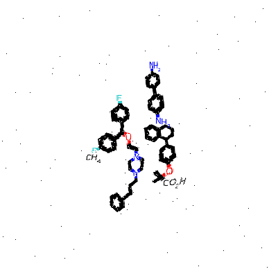 C.CC(C)(Oc1ccc(C2CCCc3ccccc32)cc1)C(=O)O.Fc1ccc(C(OCCN2CCN(CCCc3ccccc3)CC2)c2ccc(F)cc2)cc1.Nc1ccc(-c2ccc(N)cc2)cc1